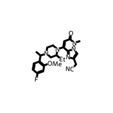 CCC1CN(C(C)c2ccc(F)cc2OC)CCN1c1cc(=O)n(C)n2cc(CC#N)nc12